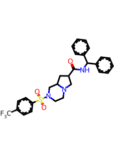 O=C(NC(c1ccccc1)c1ccccc1)C1CC2CN(S(=O)(=O)c3ccc(C(F)(F)F)cc3)CCN2C1